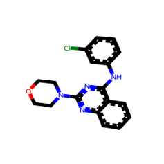 Clc1cccc(Nc2nc(N3CCOCC3)nc3ccccc23)c1